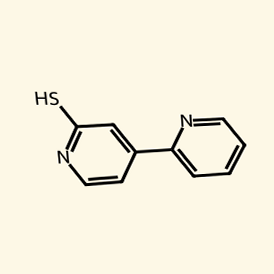 Sc1cc(-c2ccccn2)ccn1